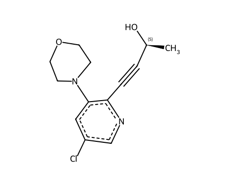 C[C@H](O)C#Cc1ncc(Cl)cc1N1CCOCC1